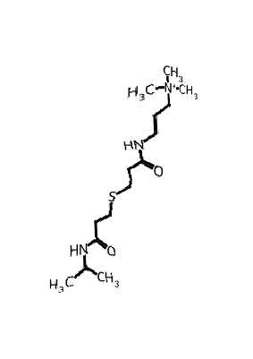 CC(C)NC(=O)CCSCCC(=O)NCCC[N+](C)(C)C